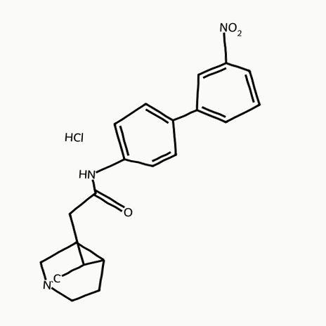 Cl.O=C(CC1CN2CCC1CC2)Nc1ccc(-c2cccc([N+](=O)[O-])c2)cc1